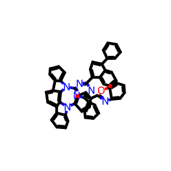 c1ccc(-c2nc(-c3ccc(-c4ccccc4)c4ccccc34)nc(-n3c4ccccc4c4ccc5c6ccccc6n(-c6ccc(-c7nc8ccccc8o7)cc6)c5c43)n2)cc1